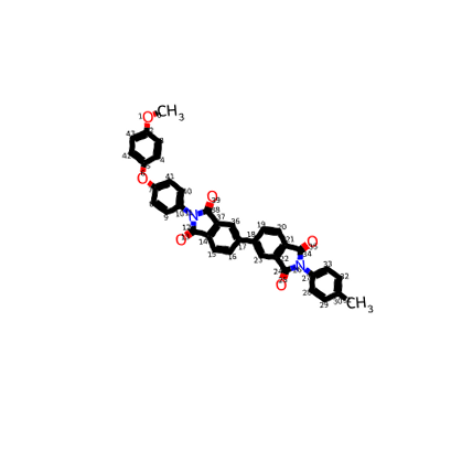 COc1ccc(Oc2ccc(N3C(=O)c4ccc(-c5ccc6c(c5)C(=O)N(c5ccc(C)cc5)C6=O)cc4C3=O)cc2)cc1